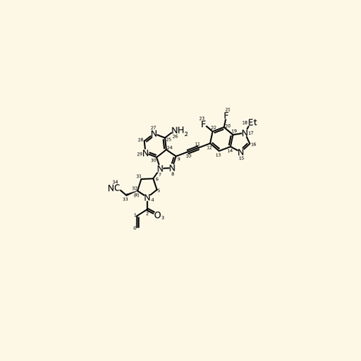 C=CC(=O)N1CC(n2nc(C#Cc3cc4ncn(CC)c4c(F)c3F)c3c(N)ncnc32)C[C@@H]1CC#N